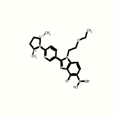 CCOCCn1c(-c2ccc(N3[C@@H](C)CC[C@@H]3C)nc2)nc2c(Cl)c(B(O)O)ccc21